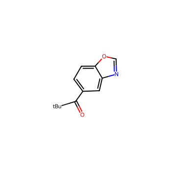 CC(C)(C)C(=O)c1ccc2ocnc2c1